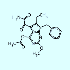 CCc1c(C(=O)C(N)=O)c2c(OC(C)=O)nc(OC)nc2n1Cc1ccccc1